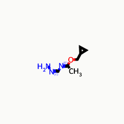 C/C(=N\C=N/N)OCC1CC1